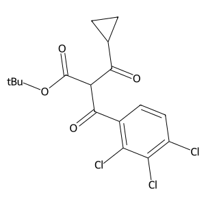 CC(C)(C)OC(=O)C(C(=O)c1ccc(Cl)c(Cl)c1Cl)C(=O)C1CC1